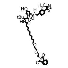 Cc1ncsc1-c1ccc(CNC(=O)[C@@H]2C[C@@H](O)CN2C(=O)C(NC(=O)CCCCCCCCCOCCOCCN2C(=O)c3ccccc3C2=O)C(C)(C)C)cc1